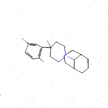 COc1ccc(Cl)cc1C1(F)CCN(C2C3CCCC2CCC3)CC1